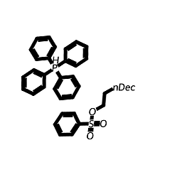 CCCCCCCCCCCCOS(=O)(=O)c1ccccc1.c1ccc([PH](c2ccccc2)(c2ccccc2)c2ccccc2)cc1